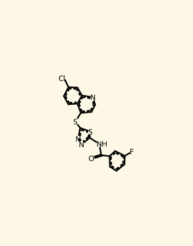 O=C(Nc1nnc(Sc2ccnc3cc(Cl)ccc23)s1)c1cccc(F)c1